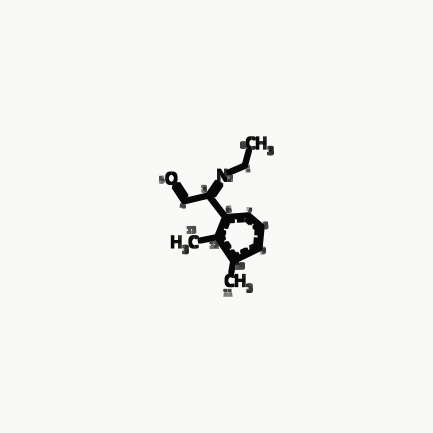 CC/N=C(/C=O)c1cccc(C)c1C